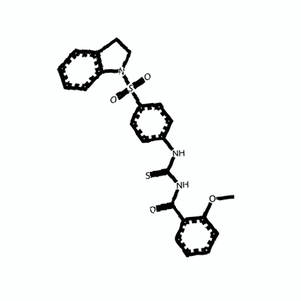 COc1ccccc1C(=O)NC(=S)Nc1ccc(S(=O)(=O)N2CCc3ccccc32)cc1